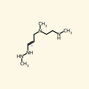 CNCCN(C)C/C=C/NNC